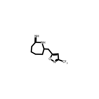 N=C1CCCCC(Cc2cc(C(F)(F)F)no2)N1